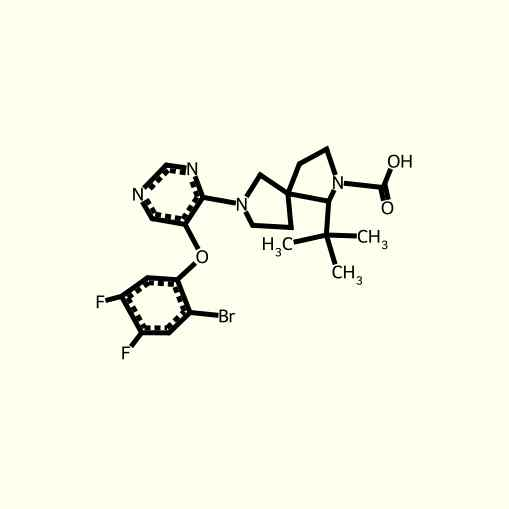 CC(C)(C)C1N(C(=O)O)CCC12CCN(c1ncncc1Oc1cc(F)c(F)cc1Br)C2